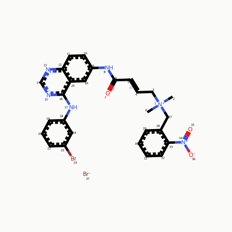 C[N+](C)(C/C=C/C(=O)Nc1ccc2ncnc(Nc3cccc(Br)c3)c2c1)Cc1ccccc1[N+](=O)[O-].[Br-]